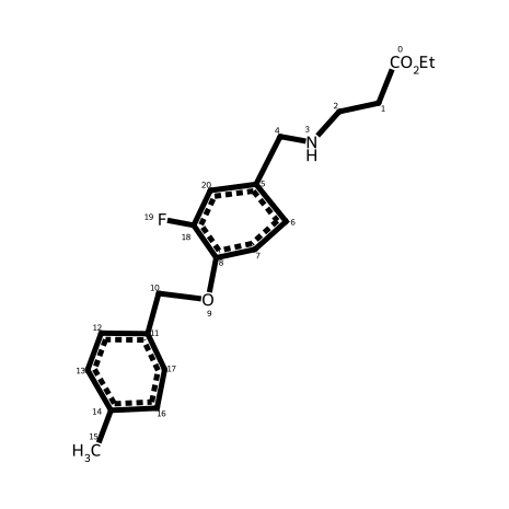 CCOC(=O)CCNCc1ccc(OCc2ccc(C)cc2)c(F)c1